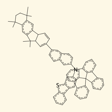 CC1(C)CCC(C)(C)c2cc3c(cc21)C1C=CC(c2ccc4cc(N(c5ccc6c(c5)sc5ccccc56)c5cccc6c5C5(c7ccccc7-c7ccccc75)c5ccccc5-6)ccc4c2)=CC1C3(C)C